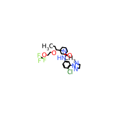 CCC(OCCOC(F)(F)F)C12CC(C)CC(C1)N2C(=O)Nc1ccc(Cl)c(-n2nccn2)c1